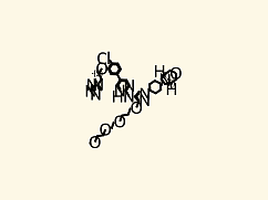 COCCOCCOCCCOc1nn(C2CCC(N3[C@@H]4CC[C@H]3COC4)CC2)cc1Nc1ncc(-c2ccc(Cl)c(O[C@@H](C)Cn3cnnn3)c2)cn1